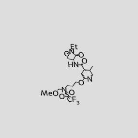 CCN1OC[C@@H](NC(=O)c2cc(OCCCN(COC)S(=O)(=O)C(F)(F)F)ncc2C)C1=O